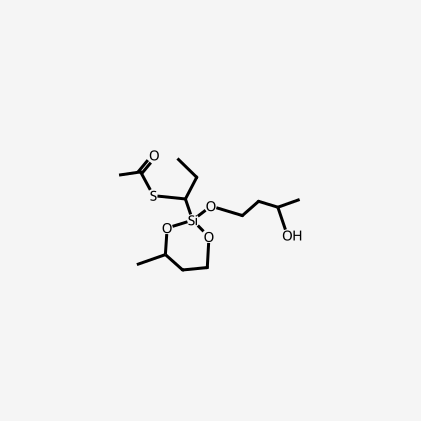 CCC(SC(C)=O)[Si]1(OCCC(C)O)OCCC(C)O1